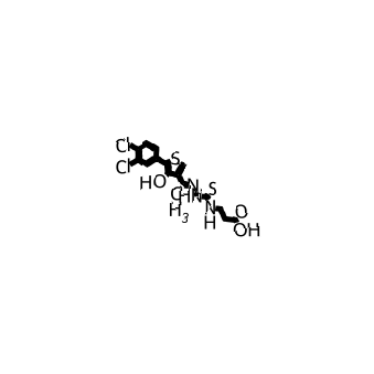 C/C(=N\NC(=S)NCCC(=O)O)c1csc(-c2ccc(Cl)c(Cl)c2)c1O